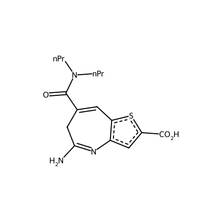 CCCN(CCC)C(=O)C1=Cc2sc(C(=O)O)cc2N=C(N)C1